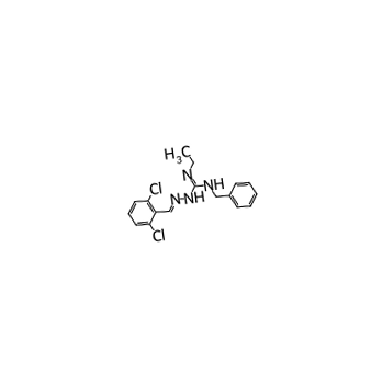 CC/N=C(\NCc1ccccc1)N/N=C/c1c(Cl)cccc1Cl